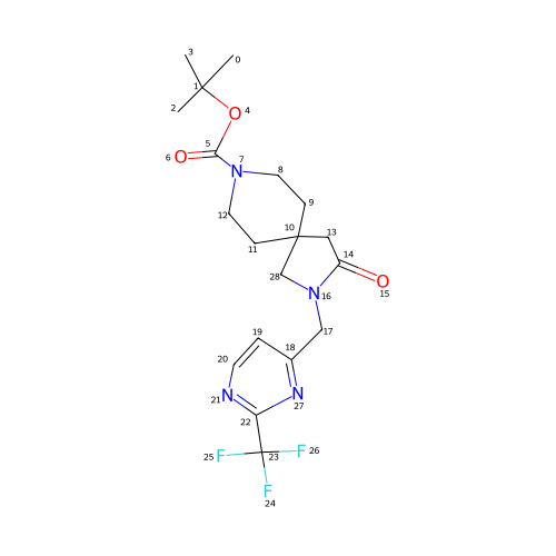 CC(C)(C)OC(=O)N1CCC2(CC1)CC(=O)N(Cc1ccnc(C(F)(F)F)n1)C2